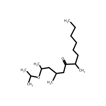 CCCCCCC(C)C(=O)CC(C)CC(C)OC(C)C